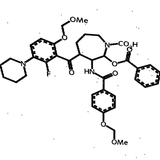 COCOc1ccc(C(=O)NC2C(C(=O)c3c(OCOC)ccc(N4CCCCC4)c3F)CCCN(C(=O)O)C2OC(=O)c2ccccc2)cc1